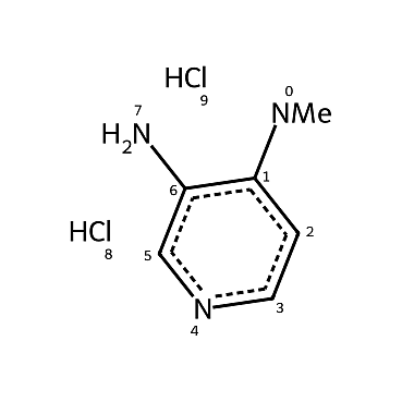 CNc1ccncc1N.Cl.Cl